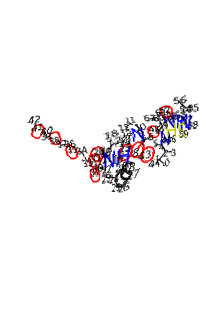 CC[C@H](C)[C@@H]([C@@H](CC(=O)N1CCC[C@H]1[C@H](OC)[C@@H](C)C(=O)N[C@@H](Cc1ccccc1)C(=O)OCCOCCOCCOC)OC)N(C)C(=O)[C@@H](NC(=O)[C@H](C(C)C)N(C)S)C(C)C